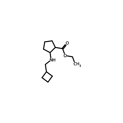 CCOC(=O)C1CCCC1NCC1CCC1